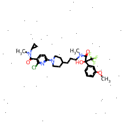 COc1cccc(C(O)(C(=O)N(C)CCCC2CCN(c3ccc(C(=O)N(C)C4CC4)c(Cl)n3)CC2)C(F)(F)F)c1